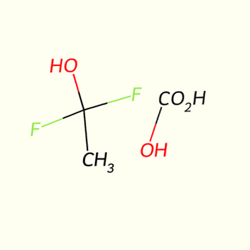 CC(O)(F)F.O=C(O)O